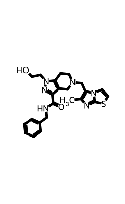 Cc1nc2sccn2c1CN1CCc2c(c(C(=O)NCc3ccccc3)nn2CCO)C1